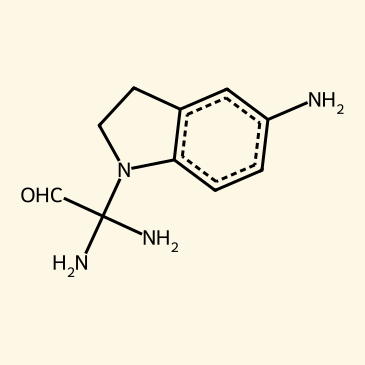 Nc1ccc2c(c1)CCN2C(N)(N)C=O